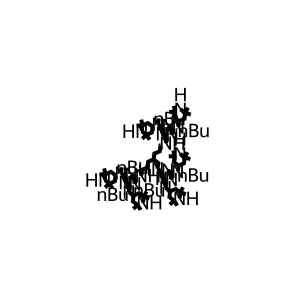 CCCCN(c1nc(NCCCC(CCCNc2nc(N(CCCC)C3CC(C)(C)NC(C)(C)C3)nc(N(CCCC)C3CC(C)(C)NC(C)(C)C3)n2)CNc2nc(N(CCCC)C3CC(C)(C)NC(C)(C)C3)nc(N(CCCC)C3CC(C)(C)NC(C)(C)C3)n2)nc(N(CCCC)C2CC(C)(C)NC(C)(C)C2)n1)C1CC(C)(C)NC(C)(C)C1